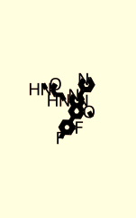 CNC(=O)CCNc1nc(-c2cccnc2)nc2c(OC)cc(-c3ccc(F)cc3F)cc12